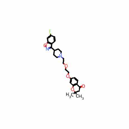 CC1(C)CC(=O)c2ccc(OCCOCCN3CCC(c4noc5cc(F)ccc45)CC3)cc2O1